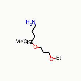 CCOCCCO[SiH](CCCN)OC